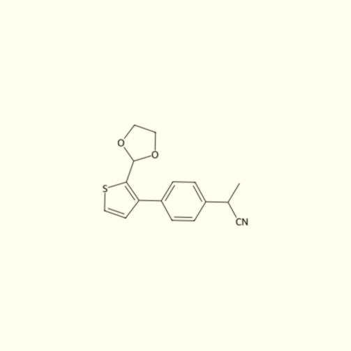 CC(C#N)c1ccc(-c2ccsc2C2OCCO2)cc1